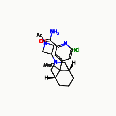 COC1(c2ccnc(C(N)=O)c2)[C@@H]2CCC[C@H]1CN(C1CN(C(C)=O)C1)C2.Cl